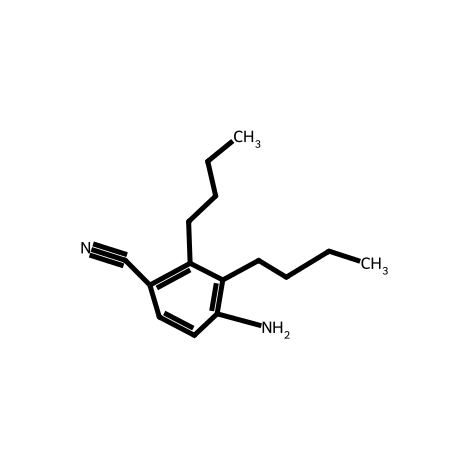 CCCCc1c(N)ccc(C#N)c1CCCC